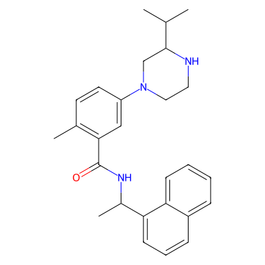 Cc1ccc(N2CCNC(C(C)C)C2)cc1C(=O)NC(C)c1cccc2ccccc12